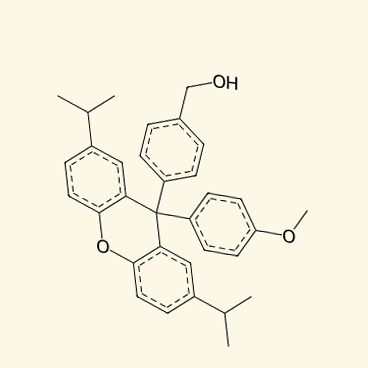 COc1ccc(C2(c3ccc(CO)cc3)c3cc(C(C)C)ccc3Oc3ccc(C(C)C)cc32)cc1